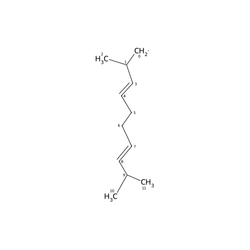 [CH2]C(C)C=CCCC=CC(C)C